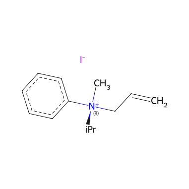 C=CC[N@@+](C)(c1ccccc1)C(C)C.[I-]